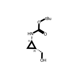 CC(C)(C)OC(=O)N[C@H]1C[C@H]1CO